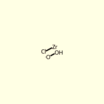 [Cl][Zr].[O]O